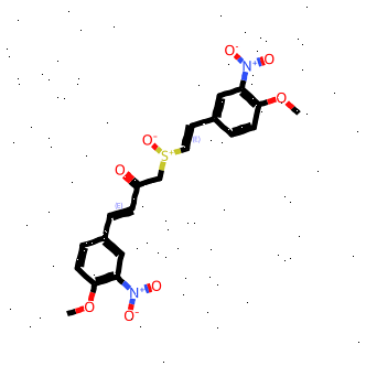 COc1ccc(/C=C/C(=O)C[S+]([O-])/C=C/c2ccc(OC)c([N+](=O)[O-])c2)cc1[N+](=O)[O-]